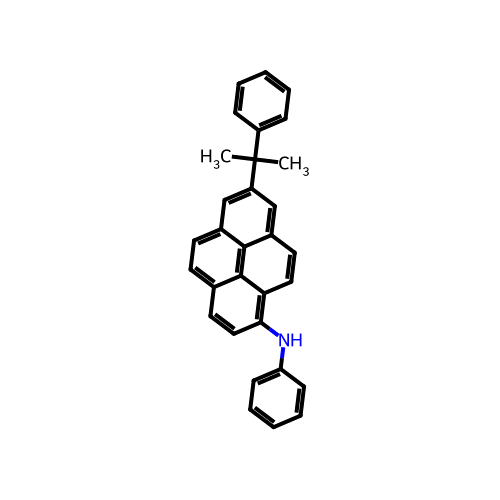 CC(C)(c1ccccc1)c1cc2ccc3ccc(Nc4ccccc4)c4ccc(c1)c2c34